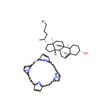 C1=Cc2cc3ccc(cc4nc(cc5ccc(cc1n2)[nH]5)C=C4)[nH]3.CC(C)CCCC(C)[C@H]1CC[C@H]2[C@@H]3CC=C4C[C@@H](O)CC[C@]4(C)[C@H]3CC[C@]12C